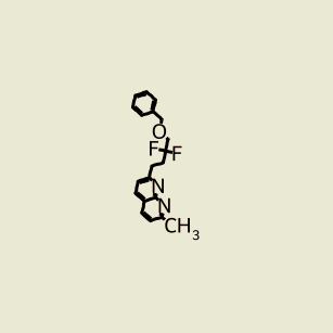 Cc1ccc2ccc(CCC(F)(F)COCc3ccccc3)nc2n1